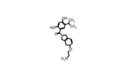 CC(C)c1cc(C(=O)N2CC3=C(CC(OCCN)C=C3)C2)c(O)cc1O